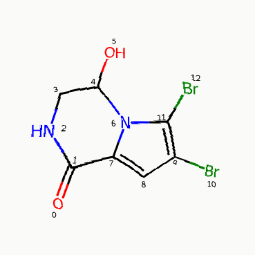 O=C1NCC(O)n2c1cc(Br)c2Br